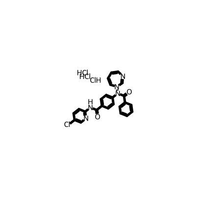 Cl.Cl.Cl.O=C(Nc1ccc(Cl)cn1)c1ccc(N(C(=O)c2ccccc2)N2C=CC=CN=C2)cc1